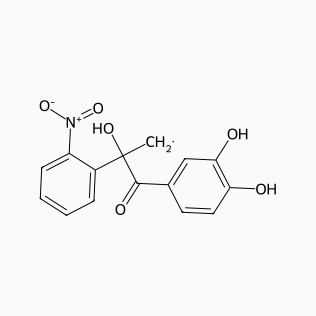 [CH2]C(O)(C(=O)c1ccc(O)c(O)c1)c1ccccc1[N+](=O)[O-]